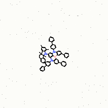 Cc1cc(C)c2c(c1)C1(C)CCc3ccccc3C1(C)N2c1cc2c3c(c1)N(c1ccc(-c4ccccc4)cc1)c1ccc(-c4ccccc4)cc1B3c1cc(-c3ccccc3)ccc1N2c1ccc(-c2ccccc2)cc1